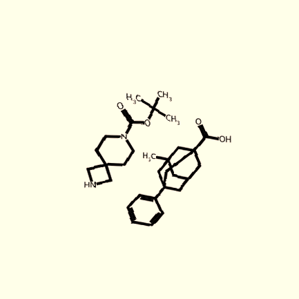 CC(C)(C)OC(=O)N1CCC2(CC1)CNC2.CC12CC3CC(C(=O)O)(C1)CC(c1ccccc1)(C3)C2